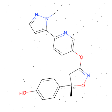 Cn1nccc1-c1ccc(OC2=NO[C@](C)(c3ccc(O)cc3)C2)cn1